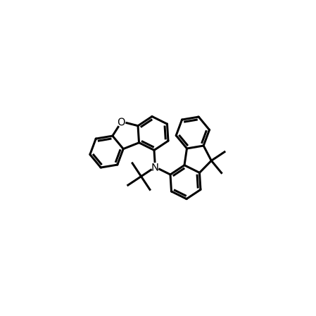 CC1(C)c2ccccc2-c2c(N(c3cccc4oc5ccccc5c34)C(C)(C)C)cccc21